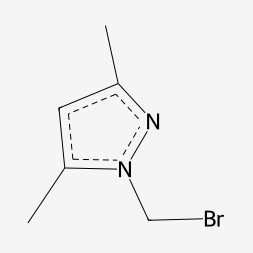 Cc1cc(C)n(CBr)n1